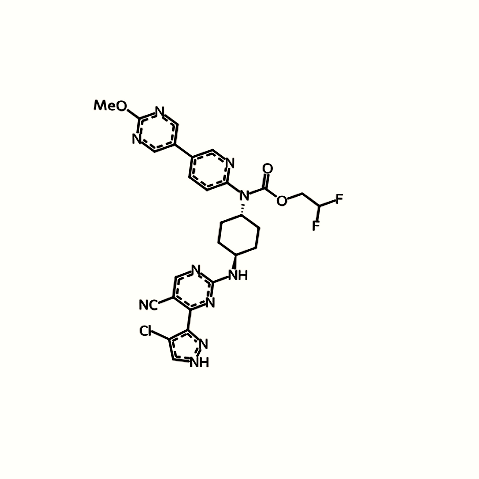 COc1ncc(-c2ccc(N(C(=O)OCC(F)F)[C@H]3CC[C@H](Nc4ncc(C#N)c(-c5n[nH]cc5Cl)n4)CC3)nc2)cn1